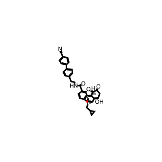 N#Cc1ccc(-c2ccc(CCNC(=O)c3ccc4c5c3O[C@H]3C(=O)CC[C@@]6(O)C(C4)N(CC4CC4)CC[C@]536)cc2)cc1